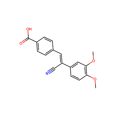 COc1ccc(C(C#N)=Cc2ccc(C(=O)O)cc2)cc1OC